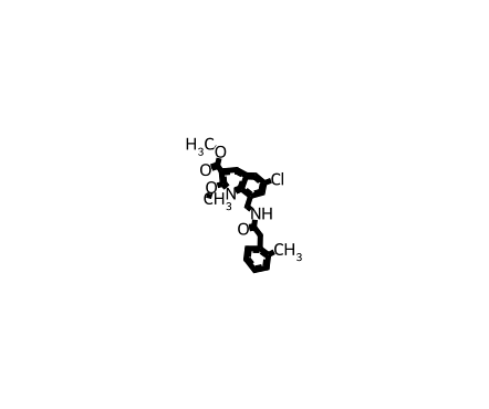 COC(=O)c1cc2cc(Cl)cc(CNC(=O)Cc3ccccc3C)c2nc1OC